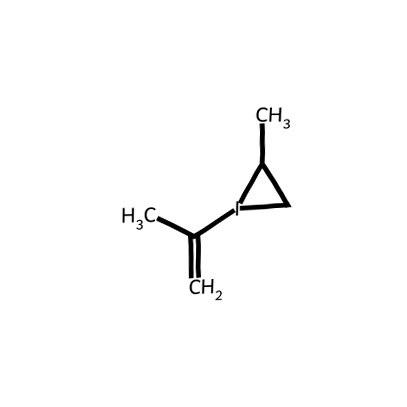 C=C(C)I1CC1C